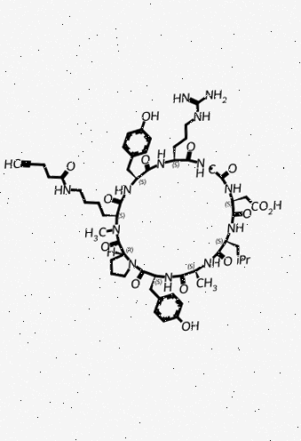 C#CCCC(=O)NCCCC[C@H]1C(=O)N[C@@H](Cc2ccc(O)cc2)C(=O)N[C@@H](CCCNC(=N)N)C(=O)NCC(=O)N[C@@H](CC(=O)O)C(=O)N[C@@H](CC(C)C)C(=O)N[C@@H](C)C(=O)N[C@@H](Cc2ccc(O)cc2)C(=O)N2CCC[C@@H]2C(=O)N1C